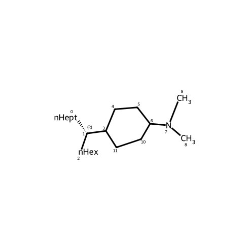 CCCCCCC[C@@H](CCCCCC)C1CCC(N(C)C)CC1